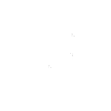 CN(C)c1ccccc1-c1ncc[nH]1